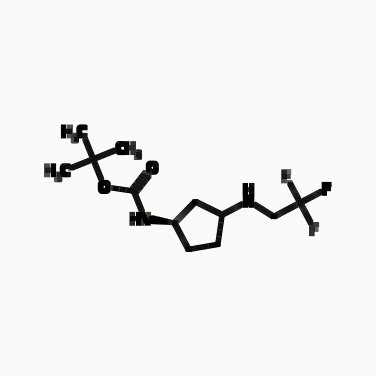 CC(C)(C)OC(=O)N[C@@H]1CCC(NCC(F)(F)F)C1